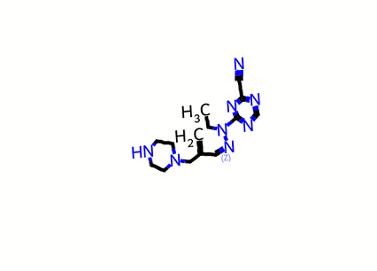 C=C(/C=N\N(CC)c1ncnc(C#N)n1)CN1CCNCC1